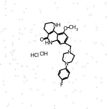 COc1cc(CN2CCN(c3ccc(F)cc3)CC2)cc2[nH]c(=O)c3c(c12)NCCC3.Cl.Cl